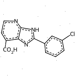 O=C(O)c1ccnc2[nH]c(-c3cccc(Cl)c3)nc12